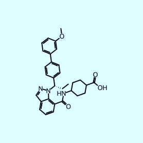 CC[C@@H](c1ccc(-c2cccc(OC)c2)cc1)n1ncc2cccc(C(=O)NC3CCC(C(=O)O)CC3)c21